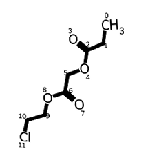 CCC(=O)OCC(=O)OCCCl